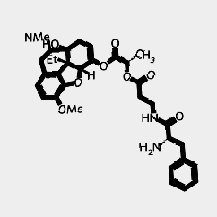 CC[C@]12c3c4ccc(OC)c3O[C@H]1C(OC(=O)[C@H](C)OC(=O)CCNC(=O)[C@@H](N)Cc1ccccc1)=CC[C@@]2(O)[C@H](NC)C4